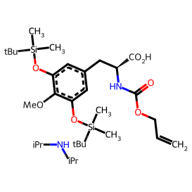 C=CCOC(=O)N[C@@H](Cc1cc(O[Si](C)(C)C(C)(C)C)c(OC)c(O[Si](C)(C)C(C)(C)C)c1)C(=O)O.CC(C)NC(C)C